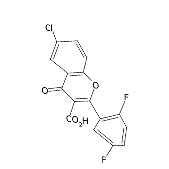 O=C(O)c1c(-c2cc(F)ccc2F)oc2ccc(Cl)cc2c1=O